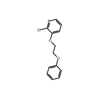 Clc1ncccc1OCCOc1ccccc1